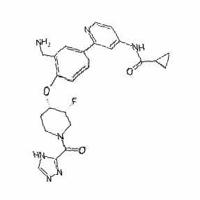 NCc1cc(-c2cc(NC(=O)C3CC3)ccn2)ccc1O[C@H]1CCN(C(=O)c2nnc[nH]2)C[C@H]1F